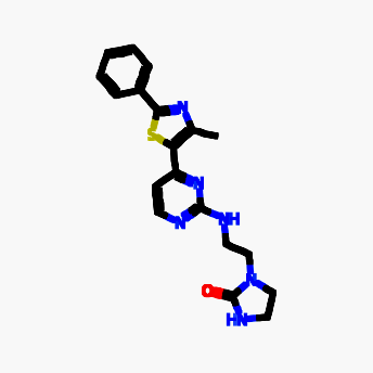 Cc1nc(-c2ccccc2)sc1-c1ccnc(NCCN2CCNC2=O)n1